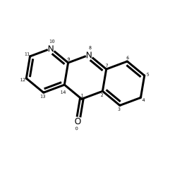 O=C1C2=CCC=CC2=Nc2ncccc21